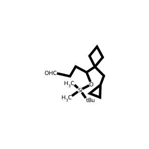 CC(C)(C)[Si](C)(C)OC(CCC=O)C1(CC2CC2)CCC1